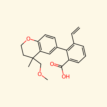 C=Cc1cccc(C(=O)O)c1-c1ccc2c(c1)C(C)(COC)CCO2